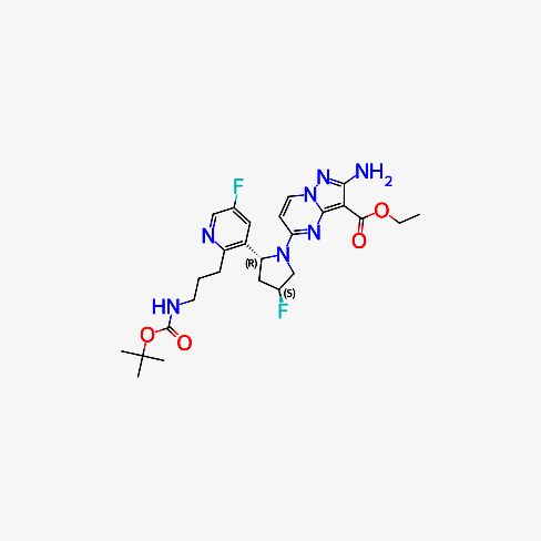 CCOC(=O)c1c(N)nn2ccc(N3C[C@@H](F)C[C@@H]3c3cc(F)cnc3CCCNC(=O)OC(C)(C)C)nc12